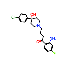 Nc1cc(F)ccc1C(=O)CCCN1CCC(O)(c2ccc(Cl)cc2)CC1